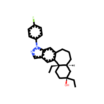 CC[C@]1(O)CC[C@]2(CC)c3cc4cnn(-c5ccc(F)cc5)c4cc3CCC[C@H]2C1